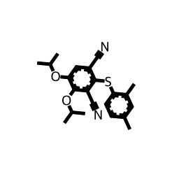 Cc1ccc(Sc2c(C#N)cc(OC(C)C)c(OC(C)C)c2C#N)c(C)c1